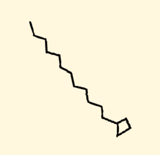 CCCCCCCCCCCC[C]1CCC1